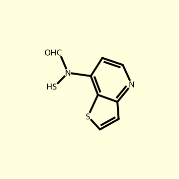 O=CN(S)c1ccnc2ccsc12